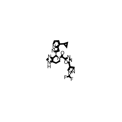 O=C(c1nnc(-c2cnn(C(F)F)c2)o1)N1CCc2[nH]cnc2[C@H]1c1cc2c(C3CC3)cccn2n1